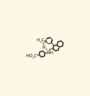 CC1(C)C=CC=C(c2c(CNc3ccc(C(=O)O)cc3)ccc3ccccc23)C1